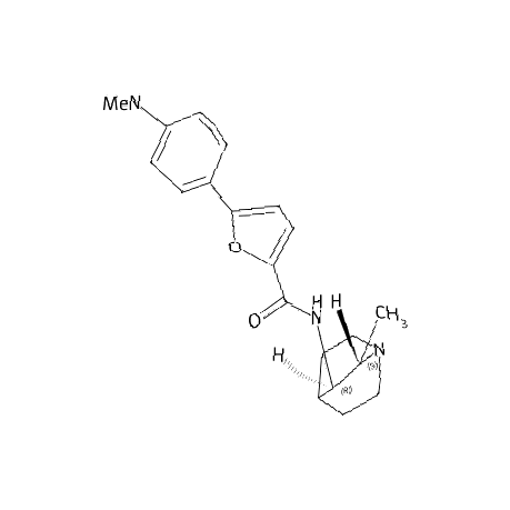 CNc1ccc(-c2ccc(C(=O)N[C@@H]3C4CCN(CC4)[C@H]3C)o2)cc1